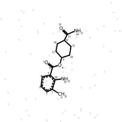 Cc1cccc(C(=O)OC2CCC(C(N)=O)CC2)c1N